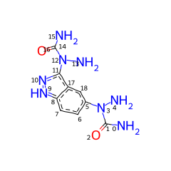 NC(=O)N(N)c1ccc2[nH]nc(N(N)C(N)=O)c2c1